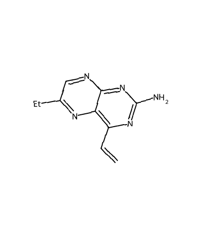 C=Cc1nc(N)nc2ncc(CC)nc12